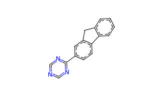 c1ccc2c(c1)Cc1cc(-c3ncncn3)ccc1-2